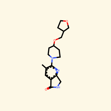 Cc1cc2c(nc1N1CCC(OCC3CCOC3)CC1)CNC2=O